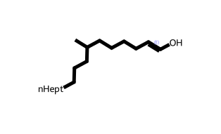 CCCCCCCCCCC(C)CCCC/C=C/O